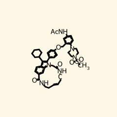 CC(=O)Nc1ccc(N2CCN(S(C)(=O)=O)CC2)c(COc2ccc(-c3c(C4CCCCC4)c4ccc5cc4n3CC(=O)NCC/C=C/CCNC5=O)cc2)c1